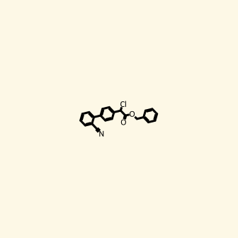 N#Cc1ccccc1-c1ccc(C(Cl)C(=O)OCc2ccccc2)cc1